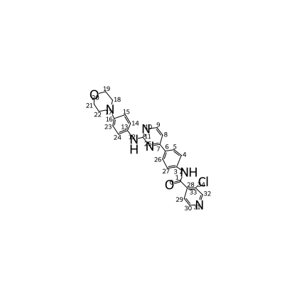 O=C(Nc1ccc(-c2ccnc(Nc3ccc(N4CCOCC4)cc3)n2)cc1)c1ccncc1Cl